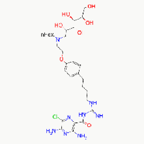 CCCCCCN(CCOc1ccc(CCCCNC(=N)NC(=O)c2nc(Cl)c(N)nc2N)cc1)C[C@H](O)[C@@H](O)[C@@H](O)[C@H](O)CO